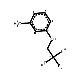 Cc1[c]ccc(OCC(F)(F)F)c1